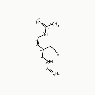 C=CNCC(/C=C\NC(C)=N)CCl